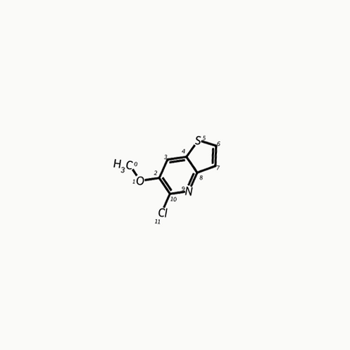 COc1cc2sccc2nc1Cl